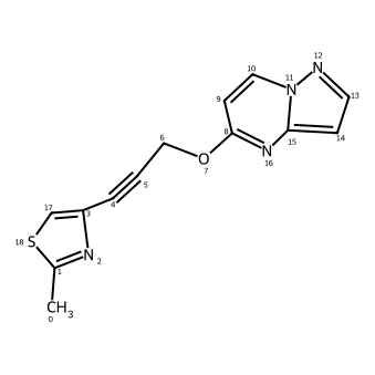 Cc1nc(C#CCOc2ccn3nccc3n2)cs1